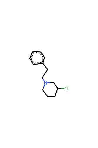 ClC1CCCN(CCc2ccccc2)C1